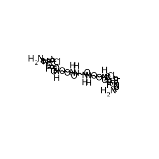 Cc1cc(Cl)cc2c1C[C@H](N1CCC[C@@H](N)C1)[C@H]2Oc1ccc(S(=O)(=O)NCCOCCOCCNC(=O)NCCCCNC(=O)NCCOCCOCCNS(=O)(=O)c2ccc(O[C@H]3c4cc(Cl)cc(C)c4C[C@@H]3N3CCC[C@@H](N)C3)c(F)c2)cc1F